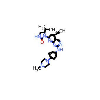 C#Cc1cc(N2C(=O)NCC2C(C)C)nc2nc(Nc3ccc(N4CCN(C)CC4)cc3)ncc12